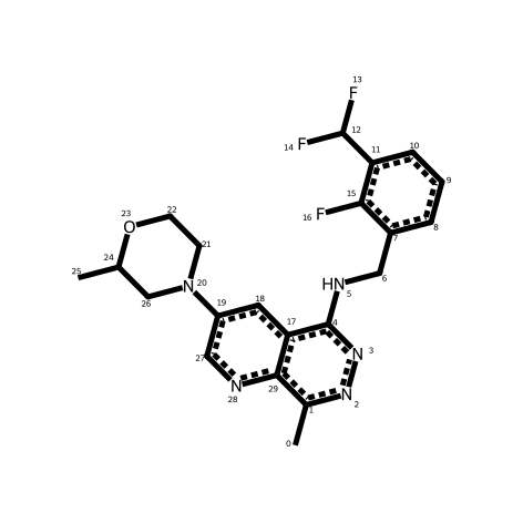 Cc1nnc(NCc2cccc(C(F)F)c2F)c2cc(N3CCOC(C)C3)cnc12